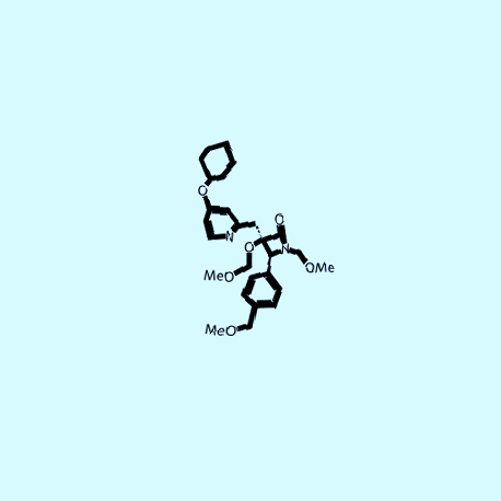 COCO[C@@]1(Cc2cc(OC3CCCCC3)ccn2)C(=O)N(COC)[C@H]1c1ccc(COC)cc1